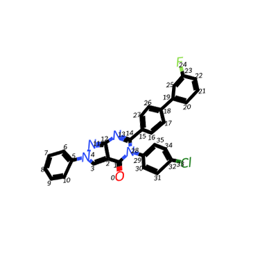 O=c1c2cn(-c3ccccc3)nc2nc(-c2ccc(-c3cccc(F)c3)cc2)n1-c1ccc(Cl)cc1